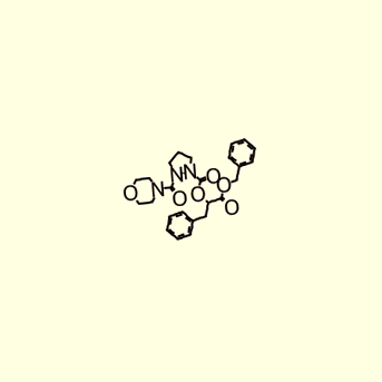 O=C(OCc1ccccc1)C(Cc1ccccc1)OC(=O)N1CCCN1C(=O)N1CCOCC1